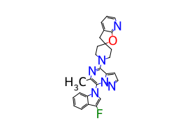 Cc1nc(N2CCC3(CC2)Cc2cccnc2O3)c2ccnn2c1-n1cc(F)c2ccccc21